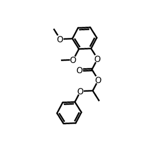 COc1cccc(OC(=O)OC(C)Oc2ccccc2)c1OC